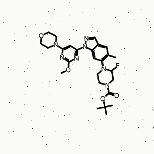 COc1nc(N2CCOCC2)cc(-n2ncc3cc(C)c(N4CCN(C(=O)OC(C)(C)C)CC4F)cc32)n1